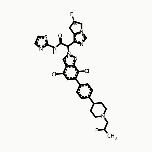 CC(F)CN1CCC(c2ccc(-c3cc(Cl)c4cn(C(C(=O)Nc5nccs5)c5ncn6c5C[C@@H](F)C6)nc4c3Cl)cc2)CC1